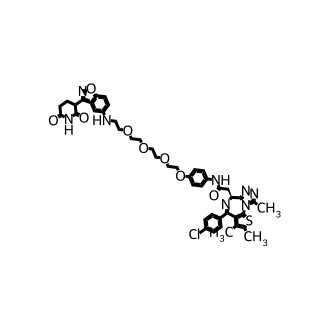 Cc1sc2c(c1C)C(c1ccc(Cl)cc1)=N[C@@H](CC(=O)Nc1ccc(OCCOCCOCCOCCNc3ccc4onc(C5CCC(=O)NC5=O)c4c3)cc1)c1nnc(C)n1-2